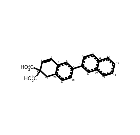 O=C(O)C1(C(=O)O)C=Cc2cc(-c3ccc4ccccc4c3)ccc2C1